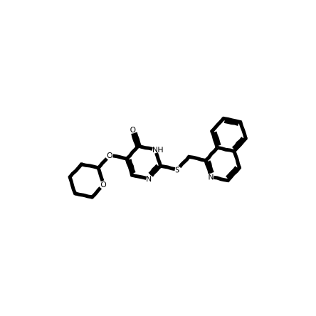 O=c1[nH]c(SCc2nccc3ccccc23)ncc1OC1CCCCO1